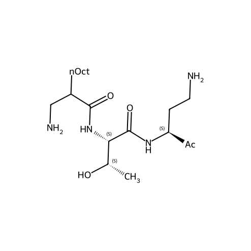 CCCCCCCCC(CN)C(=O)N[C@H](C(=O)N[C@@H](CCN)C(C)=O)[C@H](C)O